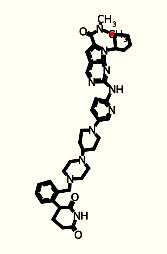 CN(C)C(=O)c1cc2cnc(Nc3ccc(N4CCC(N5CCN(Cc6ccccc6C6CCC(=O)NC6=O)CC5)CC4)cn3)nc2n1C1CCCC1